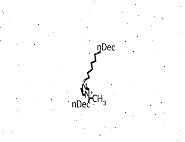 CCCCCCCCCCCCCCCCCCn1cc[n+](C(C)CCCCCCCCCC)c1